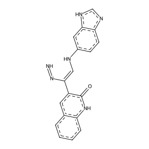 N=N/C(=C\Nc1ccc2nc[nH]c2c1)c1cc2ccccc2[nH]c1=O